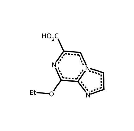 CCOc1nc(C(=O)O)cn2ccnc12